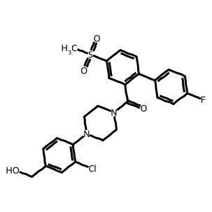 CS(=O)(=O)c1ccc(-c2ccc(F)cc2)c(C(=O)N2CCN(c3ccc(CO)cc3Cl)CC2)c1